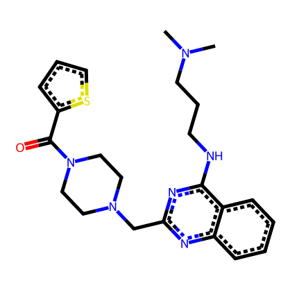 CN(C)CCCNc1nc(CN2CCN(C(=O)c3cccs3)CC2)nc2ccccc12